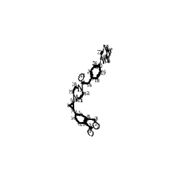 O=C1OCc2cc(C3CC3N3CCN(C(=O)Cc4ccc(-n5cnnn5)cc4)CC3)ccc21